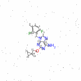 Cc1ccc(F)c(Cn2cnc3c(N)nc(OCC4(C)CC4)nc32)c1F